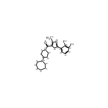 CC1=C(C(=O)N2CCC(N3CCCCCC3)CC2)CC(c2cccc(F)c2F)=N1